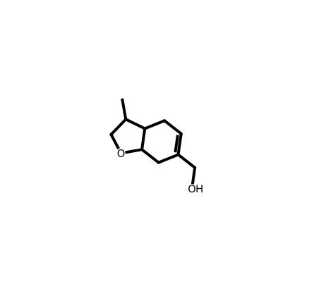 CC1COC2CC(CO)=CCC12